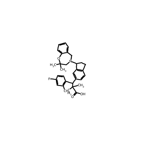 Cc1cc(F)ccc1C(c1ccc2c(c1)C(N1Cc3ccccc3OC(C)(C)C1)CC2)C(C)(C)C(=O)O